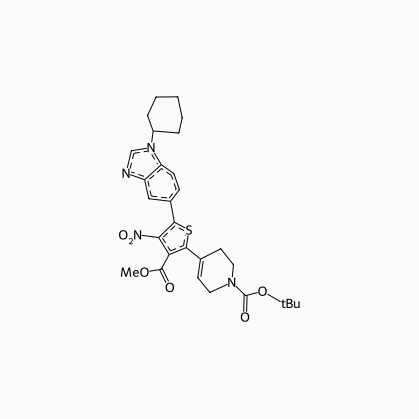 COC(=O)c1c(C2=CCN(C(=O)OC(C)(C)C)CC2)sc(-c2ccc3c(c2)ncn3C2CCCCC2)c1[N+](=O)[O-]